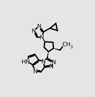 CC[C@@H]1C[C@H](n2cnnc2C2CC2)C[C@@H]1c1nnc2cnc3[nH]ccc3n12